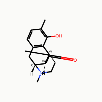 Cc1ccc2c(c1O)[C@]13CCN(C)[C@H](C2)[C@@H]1C=CC(=O)C3